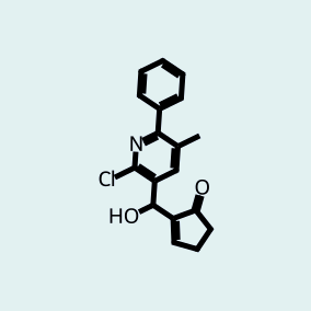 Cc1cc(C(O)C2=CCCC2=O)c(Cl)nc1-c1ccccc1